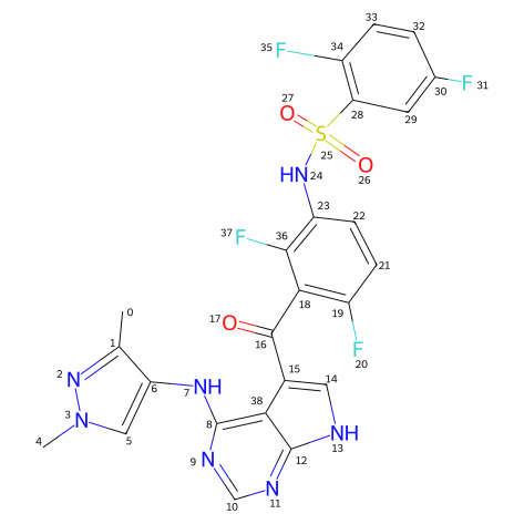 Cc1nn(C)cc1Nc1ncnc2[nH]cc(C(=O)c3c(F)ccc(NS(=O)(=O)c4cc(F)ccc4F)c3F)c12